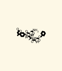 Cc1cc(=O)oc2cc(NC(=O)[C@H](CC(N)=O)NC(=O)[C@H](C)NC(=O)[C@@H](NC(=O)OCc3ccccc3)C(C)C)ccc12